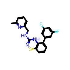 Cc1cccc(CNC2=NSc3cccc(-c4cc(F)cc(F)c4)c3N2)n1